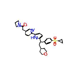 O=C(Cc1ccc(-c2ccc(C(CC3CCOCC3)c3ccc(S(=O)(=O)C4CC4)cc3)[nH]2)nc1)N1CCC1